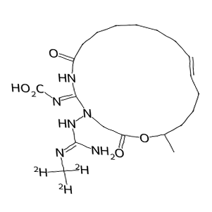 [2H]C([2H])([2H])/N=C(\N)NN1CC(=O)OC(C)CCC/C=C/CCCCCCC(=O)N/C1=N\C(=O)O